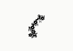 CC[C@@H]1C(=O)N(C)c2cnc(Nc3ccc(C(=O)Nc4ccc(C=CC[C@H](NC5CCCC5)C(=O)O)cc4)cc3OC)nc2N1C1CCCC1